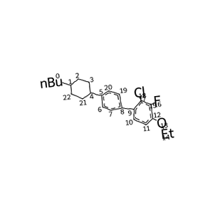 CCCCC1CCC(c2ccc(-c3ccc(OCC)c(F)c3Cl)cc2)CC1